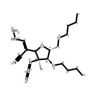 CCCCOC[C@H]1OC(C(C#N)=CNN)[C@](C)(N=[N+]=[N-])[C@@H]1OCCCC